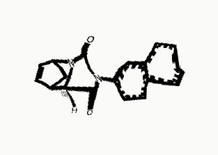 O=C1[C@@H]2C3C=CC(C3)N2C(=O)N1c1ccc2ccccc2c1